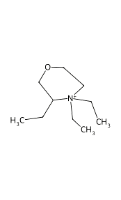 CCC1COCC[N+]1(CC)CC